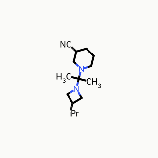 CC(C)C1CN(C(C)(C)N2CCCC(C#N)C2)C1